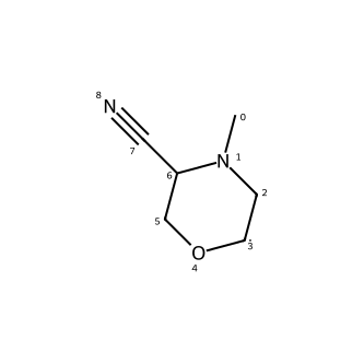 CN1C[CH]OCC1C#N